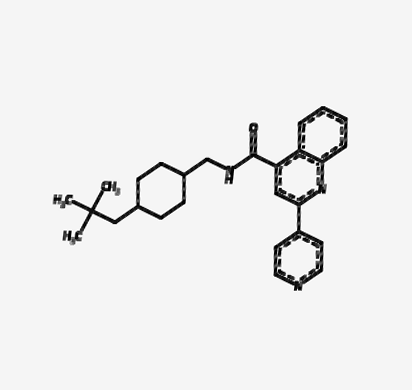 CC(C)(C)CC1CCC(CNC(=O)c2cc(-c3ccncc3)nc3ccccc23)CC1